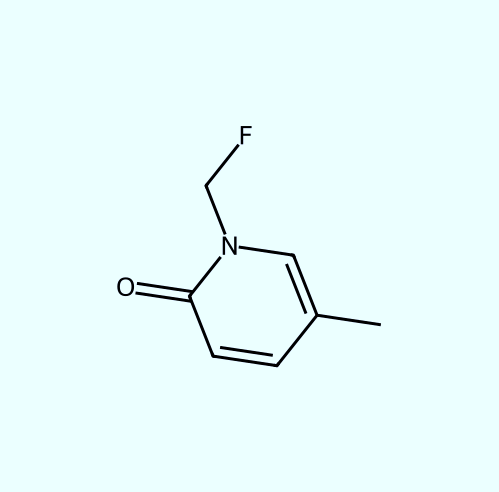 Cc1ccc(=O)n(CF)c1